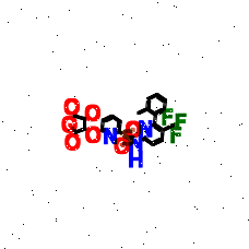 Cc1ccccc1-c1nc(NS(=O)(=O)c2cccc(OC3C(=O)OC(=O)C3=O)n2)ccc1C(F)(F)F